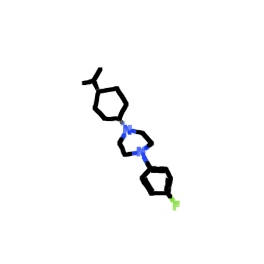 CC(C)[C@H]1CC[C@H](N2CCN(c3ccc(F)cc3)CC2)CC1